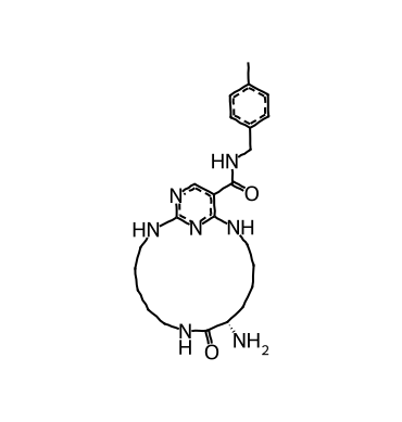 Cc1ccc(CNC(=O)c2cnc3nc2NCCCC[C@H](N)C(=O)NCCCCCN3)cc1